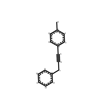 Cc1ccc(C#CCc2ccccc2)cc1